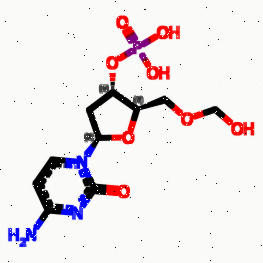 Nc1ccn([C@H]2C[C@H](OP(=O)(O)O)[C@@H](COCO)O2)c(=O)n1